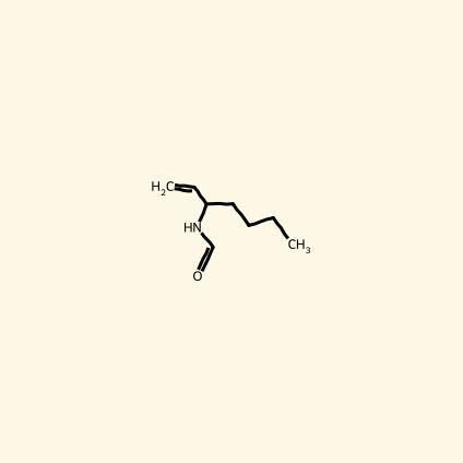 C=CC(CCCC)NC=O